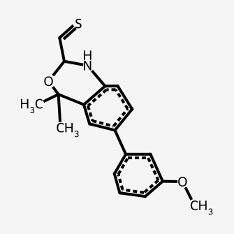 COc1cccc(-c2ccc3c(c2)C(C)(C)OC(C=S)N3)c1